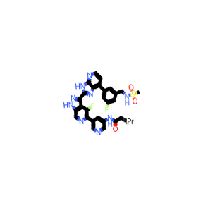 CC(C)CC(=O)Nc1cncc(-c2ncc3[nH]nc(-c4nc5c(-c6cc(F)cc(CNS(C)(=O)=O)c6)ccnc5[nH]4)c3c2F)c1